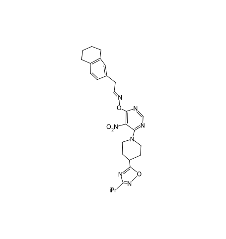 CC(C)c1noc(C2CCN(c3ncnc(ON=CCc4ccc5c(c4)CCCC5)c3[N+](=O)[O-])CC2)n1